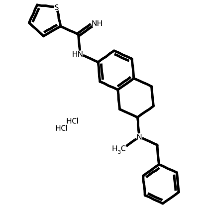 CN(Cc1ccccc1)C1CCc2ccc(NC(=N)c3cccs3)cc2C1.Cl.Cl